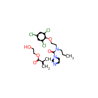 C=C(C)C(=O)OCCO.CCCN(CCOc1c(Cl)cc(Cl)cc1Cl)C(=O)n1ccnc1